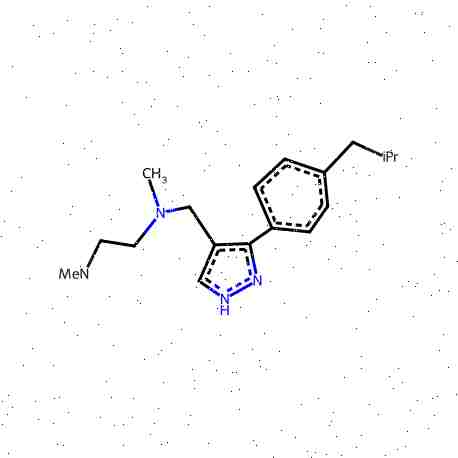 CNCCN(C)Cc1c[nH]nc1-c1ccc(CC(C)C)cc1